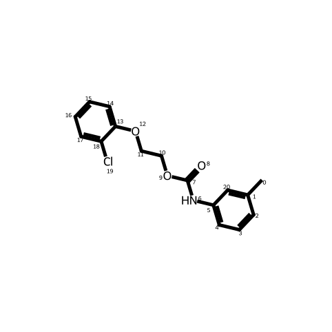 Cc1cccc(NC(=O)OCCOc2ccccc2Cl)c1